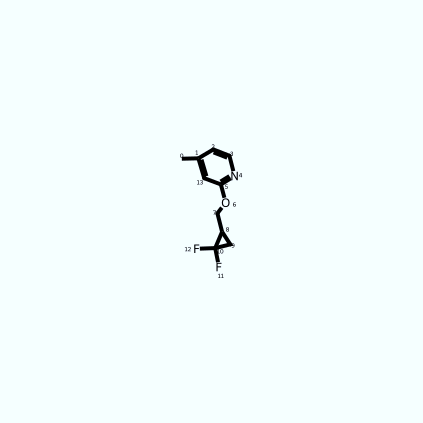 Cc1ccnc(OCC2CC2(F)F)c1